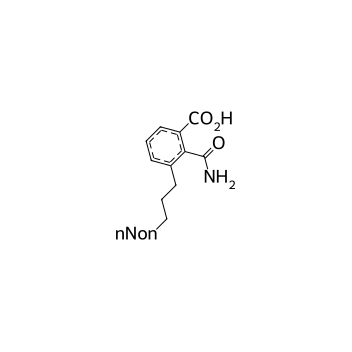 CCCCCCCCCCCCc1cccc(C(=O)O)c1C(N)=O